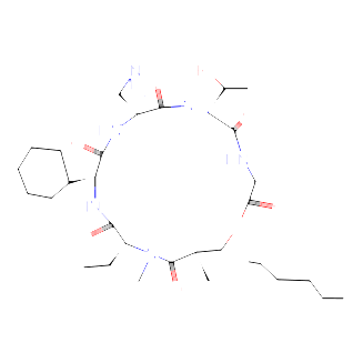 CCCCCC[C@H]1OC(=O)CNC(=O)[C@H](C(C)O)NC(=O)[C@H](CN)NC(=O)[C@H](C2CCCCC2)NC(=O)[C@H](CC)N(C)C(=O)[C@@H]1C